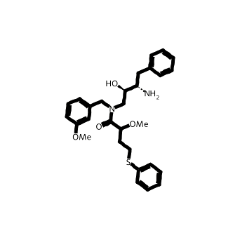 COc1cccc(CN(C[C@@H](O)[C@@H](N)Cc2ccccc2)C(=O)C(CCSc2ccccc2)OC)c1